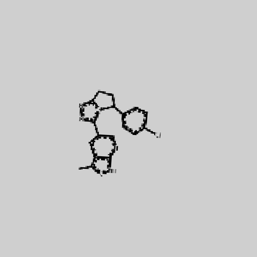 Cc1n[nH]c2ncc(-c3nnc4n3C(c3ccc(Cl)cc3)CC4)cc12